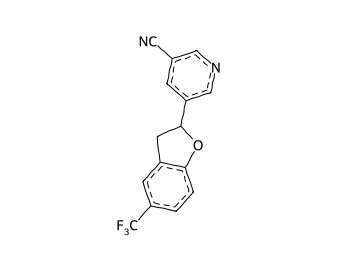 N#Cc1cncc(C2Cc3cc(C(F)(F)F)ccc3O2)c1